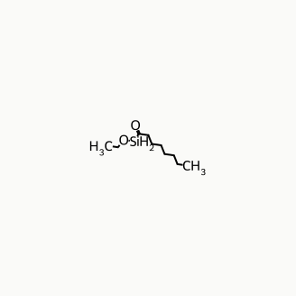 CCCCCCCC(=O)[SiH2]OCC